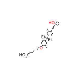 CCC(CC)(c1ccc(C#CC2(O)CCC2)c(C)c1)c1ccc(OCCCCCC(=O)O)c(C)c1